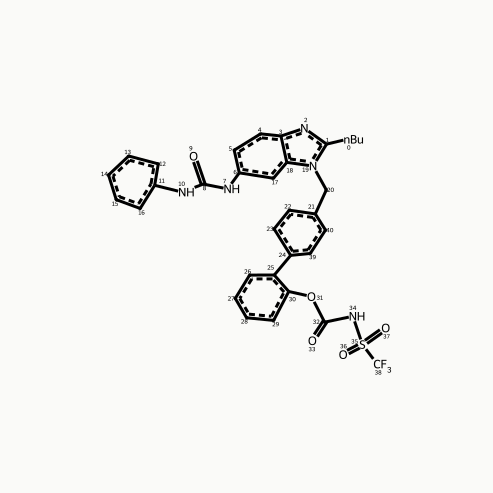 CCCCc1nc2ccc(NC(=O)Nc3ccccc3)cc2n1Cc1ccc(-c2ccccc2OC(=O)NS(=O)(=O)C(F)(F)F)cc1